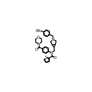 CC(C)(C)c1ccc(CN2CC3C(C2)C3CN(C(=O)c2cccs2)c2ccc(C(=O)N3CCOCC3)cc2)cc1